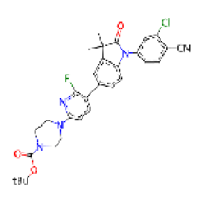 CC(C)(C)OC(=O)N1CCN(c2ccc(-c3ccc4c(c3)C(C)(C)C(=O)N4c3ccc(C#N)c(Cl)c3)c(F)n2)CC1